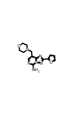 Nc1ncc(CN2CCOCC2)c2nc(-c3ccco3)nn12